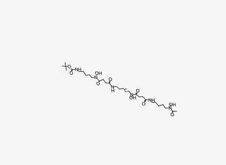 CC(=O)N(O)CCCCCNC(=O)CCC(=O)N(O)CCCCCNC(=O)CCC(=O)N(O)CCCCCNC(=O)OC(C)(C)C